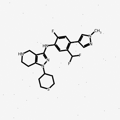 Cn1cc(-c2cc(F)c(Nc3nn(C4CCSCC4)c4c3CNCC4)cc2C(F)F)cn1